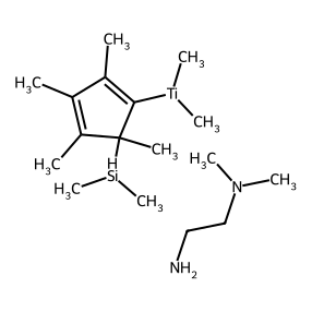 CC1=C(C)C(C)([SiH](C)C)[C]([Ti]([CH3])[CH3])=C1C.CN(C)CCN